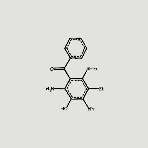 CCCCCCc1c(CC)c(CCC)c(O)c(N)c1C(=O)c1ccccc1